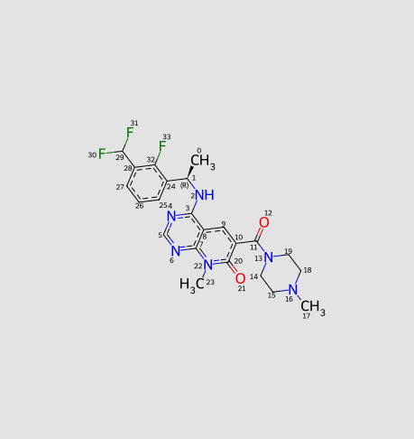 C[C@@H](Nc1ncnc2c1cc(C(=O)N1CCN(C)CC1)c(=O)n2C)c1cccc(C(F)F)c1F